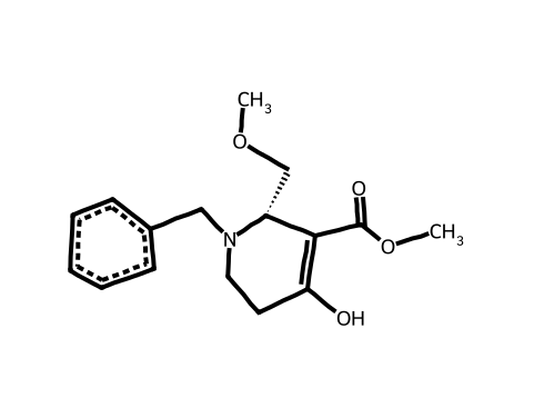 COC[C@@H]1C(C(=O)OC)=C(O)CCN1Cc1ccccc1